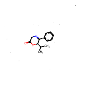 CC(C)[C@H]1OC(=O)CN=C1c1ccccc1